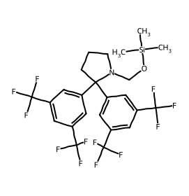 C[Si](C)(C)OCN1CCCC1(c1cc(C(F)(F)F)cc(C(F)(F)F)c1)c1cc(C(F)(F)F)cc(C(F)(F)F)c1